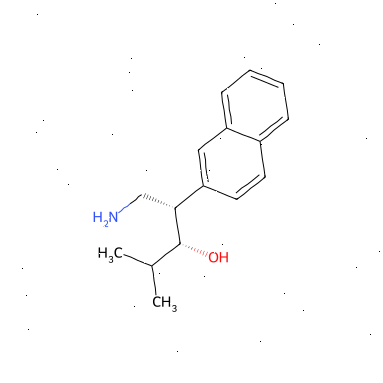 CC(C)[C@@H](O)[C@H](CN)c1ccc2ccccc2c1